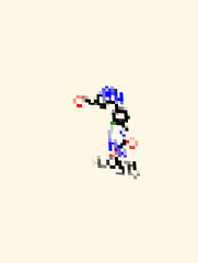 CC(C)(C)c1nc(C(=O)NCc2ccc(-c3ncnn4cc(CC=O)cc34)cc2F)no1